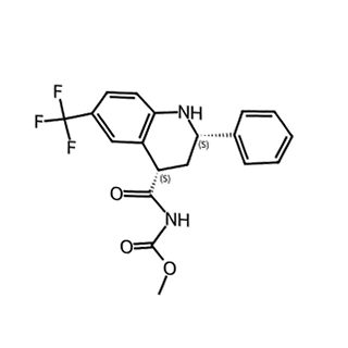 COC(=O)NC(=O)[C@H]1C[C@@H](c2ccccc2)Nc2ccc(C(F)(F)F)cc21